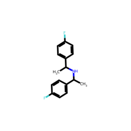 CC(NC(C)c1ccc(F)cc1)c1ccc(F)cc1